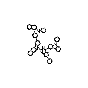 c1ccc(-c2cc3nc(-n4c5ccc(-c6ccc7c8c9ccccc9ccc8n(-c8ccccc8)c7c6)cc5c5cc6ccccc6cc54)nc(-c4ccc5c(c4)c4ccccc4n5-c4ccccc4)c3s2)cc1